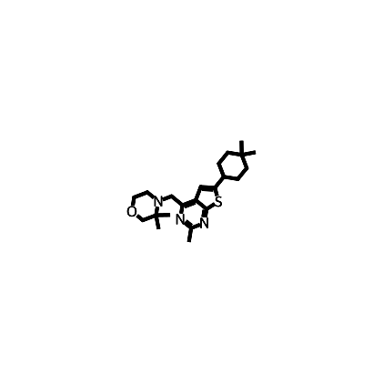 Cc1nc(CN2CCOCC2(C)C)c2cc(C3CCC(C)(C)CC3)sc2n1